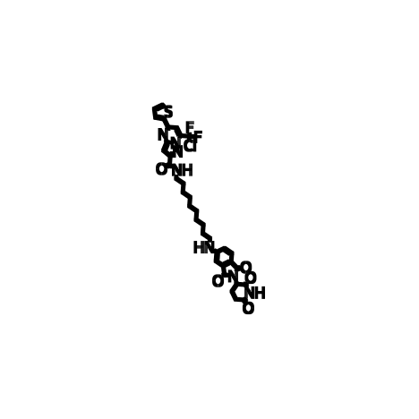 O=C1CCC(N2C(=O)c3ccc(NCCCCCCCCCCNC(=O)c4cc5nc(-c6cccs6)cc(C(F)(F)Cl)n5n4)cc3C2=O)C(=O)N1